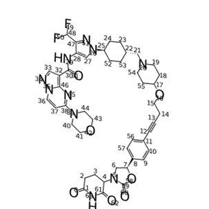 O=C1CCC(N2C[C@@H](c3ccc(C#CCCOC4CCN(C[C@H]5CC[C@H](n6cc(NC(=O)c7cnn8ccc(N9CCOCC9)nc78)c(C(F)F)n6)CC5)CC4)cc3)OC2=O)C(=O)N1